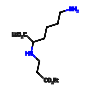 CCOC(=O)CCNC(CCCCN)C(=O)OCC